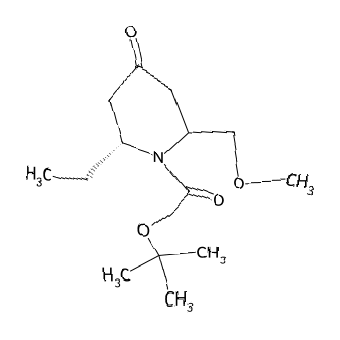 CC[C@@H]1CC(=O)CC(COC)N1C(=O)OC(C)(C)C